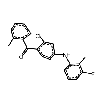 Cc1ccccc1C(=O)c1ccc(Nc2cccc(F)c2C)cc1Cl